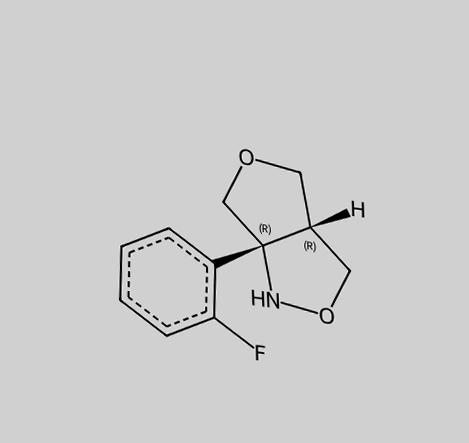 Fc1ccccc1[C@@]12COC[C@@H]1CON2